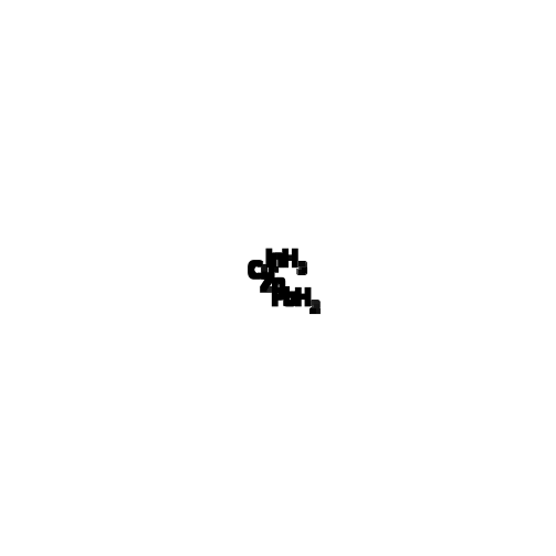 [Cu].[InH3].[PbH2].[Zn]